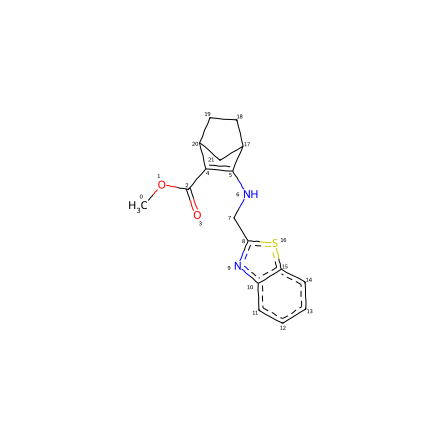 COC(=O)C1=C(NCc2nc3ccccc3s2)C2CCC1C2